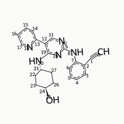 C#Cc1ccccc1Nc1ncc(-c2ccccn2)c(N[C@H]2CC[C@H](O)CC2)n1